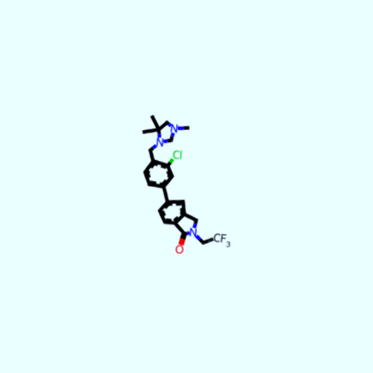 CN1CN(Cc2ccc(-c3ccc4c(c3)CN(CC(F)(F)F)C4=O)cc2Cl)C(C)(C)C1